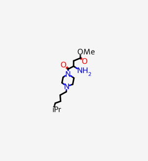 COC(=O)CC(N)C(=O)N1CCN(CCCCC(C)C)CC1